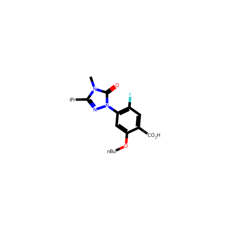 CCCCOc1cc(-n2nc(C(C)C)n(C)c2=O)c(F)cc1C(=O)O